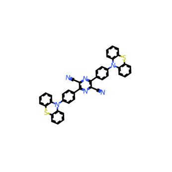 N#Cc1nc(-c2ccc(N3c4ccccc4Sc4ccccc43)cc2)c(C#N)nc1-c1ccc(N2c3ccccc3Sc3ccccc32)cc1